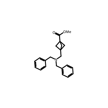 COC(=O)C12CC(CN(Cc3ccccc3)Cc3ccccc3)(C1)C2